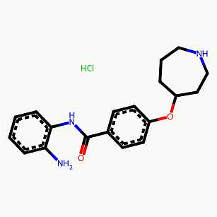 Cl.Nc1ccccc1NC(=O)c1ccc(OC2CCCNCC2)cc1